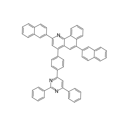 c1ccc(-c2cc(-c3ccc(-c4cc(-c5ccc6ccccc6c5)nc5c4cc(-c4ccc6ccccc6c4)c4ccccc45)cc3)nc(-c3ccccc3)n2)cc1